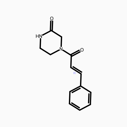 O=C1CN(C(=O)/C=C/c2ccccc2)CCN1